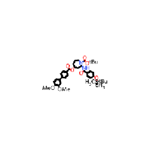 COc1ccc(-c2ccc(C(=O)OC3CCCN(C(=O)OC(C)(C)C)C(NC(=O)c4ccc(O[Si](C)(C)C(C)(C)C)cc4)C3)cc2)cc1OC